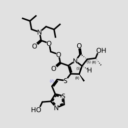 CC(C)CN(CC(C)C)C(=O)OCOC(=O)C1=C(S/C=C\c2scnc2CO)[C@H](C)[C@@H]2[C@@H]([C@@H](C)O)C(=O)N12